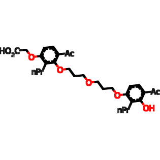 CCCc1c(OCCCOCCCOc2c(C(C)=O)ccc(OCC(=O)O)c2CCC)ccc(C(C)=O)c1O